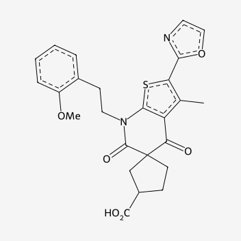 COc1ccccc1CCN1C(=O)C2(CCC(C(=O)O)C2)C(=O)c2c1sc(-c1ncco1)c2C